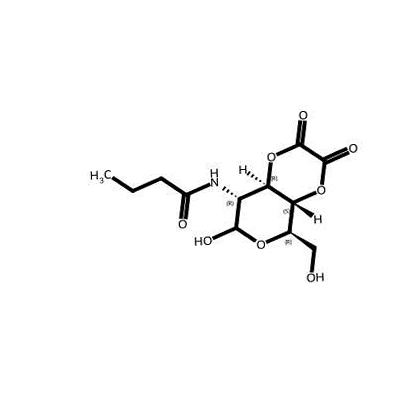 CCCC(=O)N[C@H]1C(O)O[C@H](CO)[C@H]2OC(=O)C(=O)O[C@@H]21